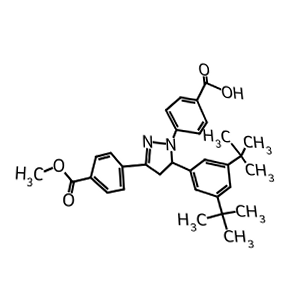 COC(=O)c1ccc(C2=NN(c3ccc(C(=O)O)cc3)C(c3cc(C(C)(C)C)cc(C(C)(C)C)c3)C2)cc1